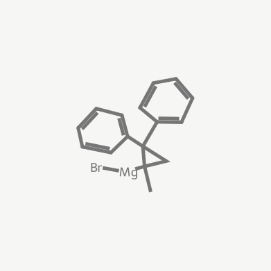 C[C]1([Mg][Br])CC1(c1ccccc1)c1ccccc1